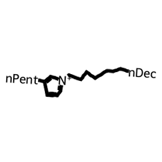 CCCCCCCCCCCCCCCCC[n+]1cccc(CCCCC)c1